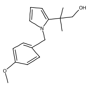 COc1ccc(Cn2cccc2C(C)(C)CO)cc1